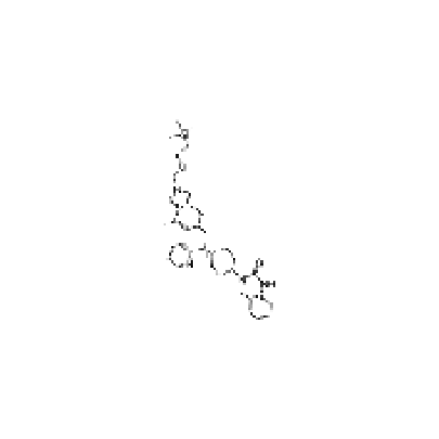 Cc1cc(CC(c2ccccn2)N2CCC(N3Cc4ccccc4NC3=O)CC2)cc2cn(COCC[Si](C)(C)C)nc12